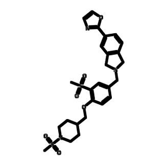 CS(=O)(=O)c1cc(CN2Cc3ccc(-c4ncco4)cc3C2)ccc1OCC1CCN(S(C)(=O)=O)CC1